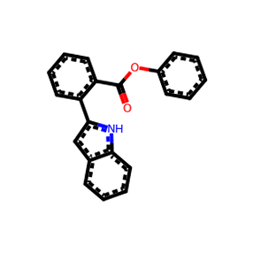 O=C(Oc1ccccc1)c1ccccc1-c1cc2ccccc2[nH]1